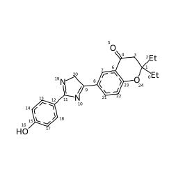 CCC1(CC)CC(=O)c2cc(C3=NC(c4ccc(O)cc4)=NC3)ccc2O1